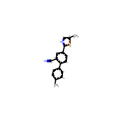 Cc1ccc(-c2ccc(-c3ncc(C)s3)cc2C#N)cc1